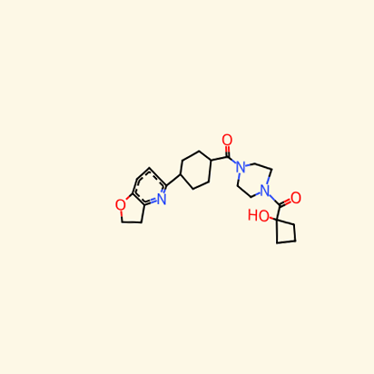 O=C(C1CCC(c2ccc3c(n2)CCO3)CC1)N1CCN(C(=O)C2(O)CCC2)CC1